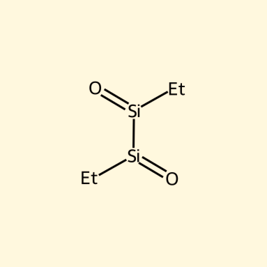 CC[Si](=O)[Si](=O)CC